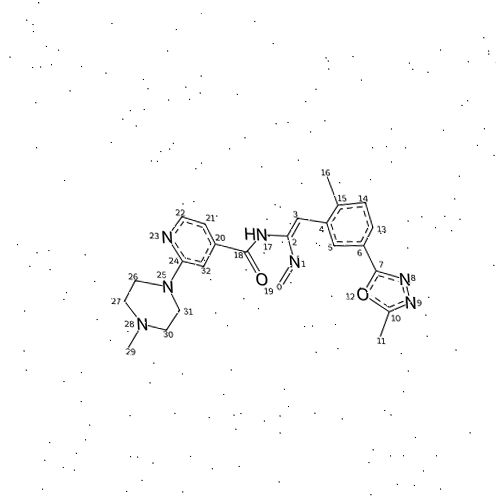 C=N/C(=C\c1cc(-c2nnc(C)o2)ccc1C)NC(=O)c1ccnc(N2CCN(C)CC2)c1